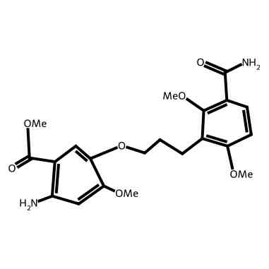 COC(=O)c1cc(OCCCc2c(OC)ccc(C(N)=O)c2OC)c(OC)cc1N